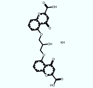 O=C(O)c1cc(=O)c2c(OCC(O)COc3cccc4oc(C(=O)O)cc(=O)c34)cccc2o1.[KH]